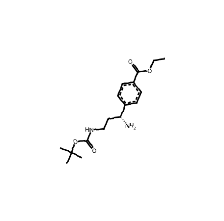 CCOC(=O)c1ccc([C@H](N)CCNC(=O)OC(C)(C)C)cc1